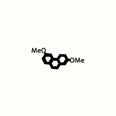 COC1=CC2CCc3ccc(OC)cc3C2CC1